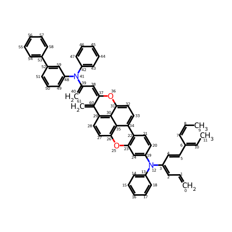 C=C\C=C(/C=C/C(/C=C\C)=C/C)N(c1ccccc1)c1ccc2c(c1)Oc1ccc3c4c(ccc-2c14)O/C(=C/C(=C)N(c1ccccc1)c1cccc(-c2ccccc2)c1)C3=C